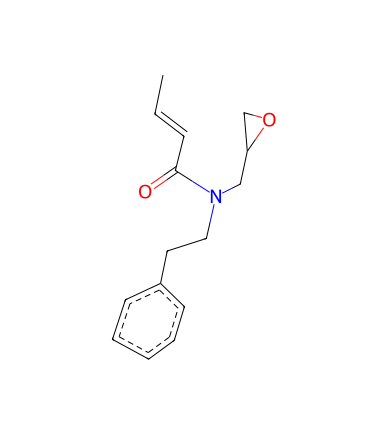 C/C=C/C(=O)N(CCc1ccccc1)CC1CO1